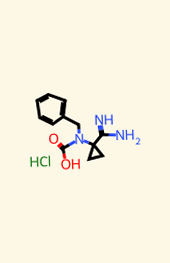 Cl.N=C(N)C1(N(Cc2ccccc2)C(=O)O)CC1